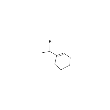 [CH2]C(CC)C1=CCCCC1